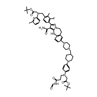 Cc1cccc(N(CC(=O)OC(C)(C)C)Cc2ccc(-c3nn4c(c3C(N)=O)Nc3ccc(N5CCN(CC6CCN(c7ccc(N(CCC(=O)NC=O)CC(=O)OC(C)(C)C)cc7)CC6)CC5)cc3CC4)c(F)c2C)n1